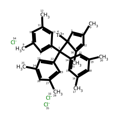 CC1=C[C]([Ti+3])(C(c2cc(C)cc(C)c2)(c2cc(C)cc(C)c2)c2cc(C)cc(C)c2)C(C)=C1.[Cl-].[Cl-].[Cl-]